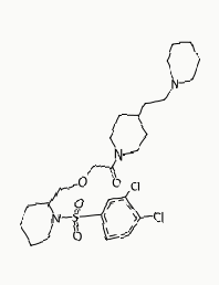 O=C(COCC1CCCCN1S(=O)(=O)c1ccc(Cl)c(Cl)c1)N1CCC(CCN2CCCCC2)CC1